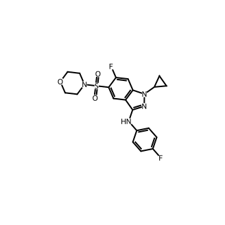 O=S(=O)(c1cc2c(Nc3ccc(F)cc3)nn(C3CC3)c2cc1F)N1CCOCC1